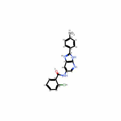 O=C(Nc1cnc2[nH]c(-c3ccc([N+](=O)[O-])cc3)nc2c1)c1ccccc1Cl